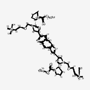 CC(C)(C)OC(=O)N1CCC[C@H]1C1=NC(c2cc3cc4sc(C5CN(COCCS(C)(C)C)C([C@@H]6CCCN6C(=O)OC(C)(C)C)=N5)cc4cc3s2)CN1COCC[Si](C)(C)C